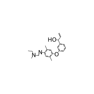 C=CC(O)c1cccc(Oc2cc(C)c(N=CN(C)CC)cc2C)c1